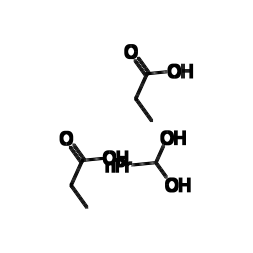 CCC(=O)O.CCC(=O)O.CCCC(O)O